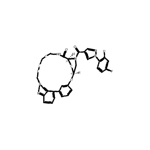 O=C1NCCCCCCn2cc3c(cccc3n2)-c2cccc(c2)O[C@H]2C[C@@H]1N(C(=O)c1cnn(-c3ccc(F)cc3Cl)c1)C2